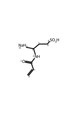 C=CC(=O)NC(C)CCS(=O)(=O)O.[NaH]